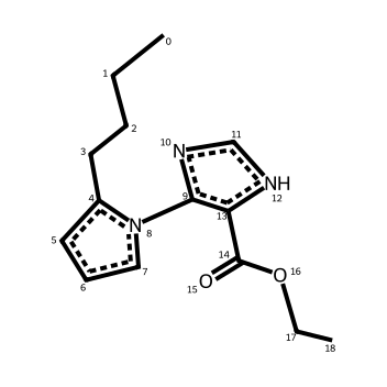 CCCCc1cccn1-c1nc[nH]c1C(=O)OCC